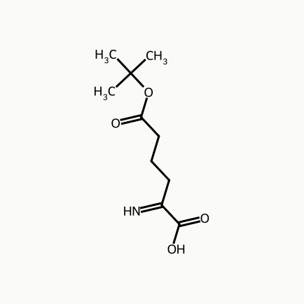 CC(C)(C)OC(=O)CCCC(=N)C(=O)O